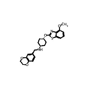 COc1cccc2sc(O[C@H]3CC[C@H](NCc4ccc5c(c4)OCCO5)CC3)nc12